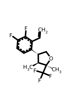 C=Cc1c([C@@H]2CO[C@@](C)(C(F)(F)F)[C@H]2C)ccc(F)c1F